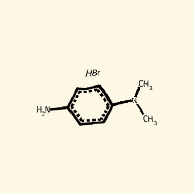 Br.CN(C)c1ccc(N)cc1